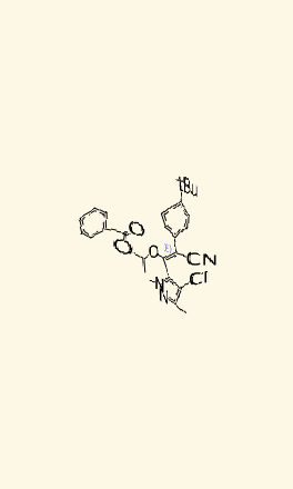 Cc1nn(C)c(/C(OC(C)OC(=O)c2ccccc2)=C(\C#N)c2ccc(C(C)(C)C)cc2)c1Cl